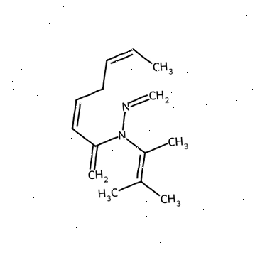 C=NN(C(=C)/C=C\C/C=C\C)C(C)=C(C)C